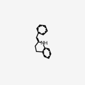 C(=C1CCc2ccccc2N1)c1ccccc1